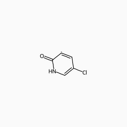 O=c1[c]cc(Cl)c[nH]1